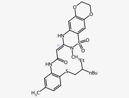 CCCCC(CC)CSc1ccc(C)cc1NC(=O)/C=C1/Nc2cc3c(cc2S(=O)(=O)N1C)OCCO3